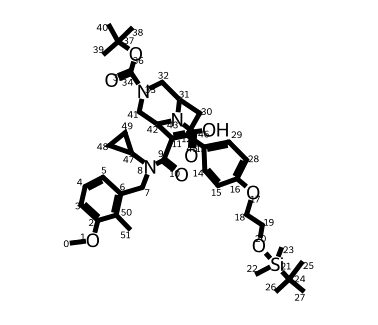 COc1cccc(CN(C(=O)C2=C(c3ccc(OCCO[Si](C)(C)C(C)(C)C)cc3)CC3CN(C(=O)OC(C)(C)C)CC2N3C(=O)O)C2CC2)c1C